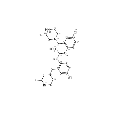 CC1CN(Cc2cc(Cl)ccc2OC(Oc2ccc(Cl)cc2CN2CCNC(C)C2)C(=O)O)CCN1